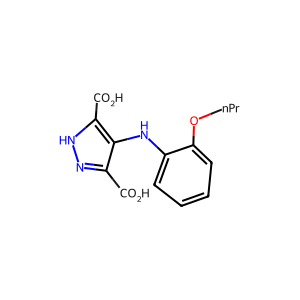 CCCOc1ccccc1Nc1c(C(=O)O)n[nH]c1C(=O)O